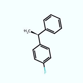 [CH2][C@@H](c1ccccc1)c1ccc(F)cc1